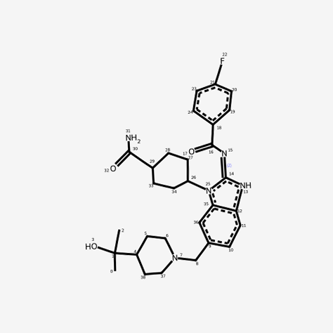 CC(C)(O)C1CCN(Cc2ccc3[nH]/c(=N/C(=O)c4ccc(F)cc4)n(C4CCC(C(N)=O)CC4)c3c2)CC1